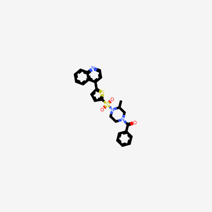 CC1CN(C(=O)c2ccccc2)CCN1S(=O)(=O)c1ccc(-c2ccnc3ccccc23)s1